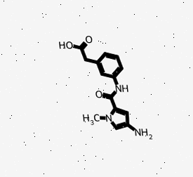 Cn1cc(N)cc1C(=O)Nc1cccc(CC(=O)O)c1